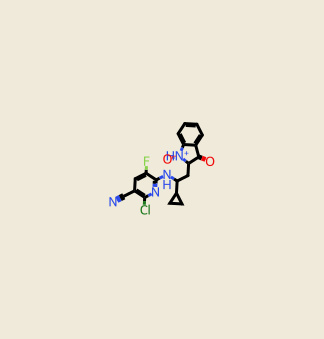 N#Cc1cc(F)c(NC(CC2C(=O)c3ccccc3[NH+]2[O-])C2CC2)nc1Cl